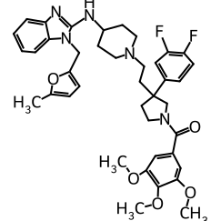 COc1cc(C(=O)N2CCC(CCN3CCC(Nc4nc5ccccc5n4Cc4ccc(C)o4)CC3)(c3ccc(F)c(F)c3)C2)cc(OC)c1OC